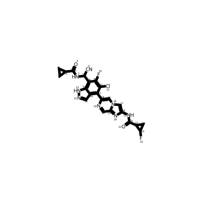 N#CC(NC(=O)C1CC1)c1c(F)c(Cl)c(-c2cn3cc(NC(=O)C4CC4F)nc3cn2)c2cn[nH]c12